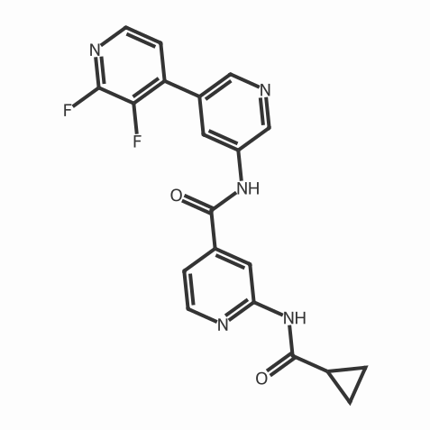 O=C(Nc1cncc(-c2ccnc(F)c2F)c1)c1ccnc(NC(=O)C2CC2)c1